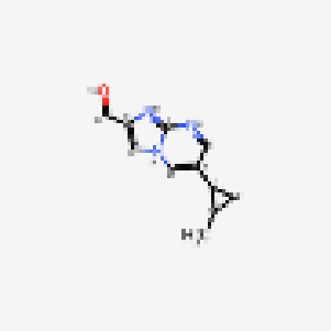 CC1CC1c1cnc2nc(C=O)cn2c1